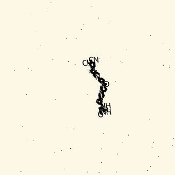 C[C@H]1CC2(CCN(c3ccc(C(=O)N4CCC(N5CCN(c6cccc(N[C@H]7CCC(=O)NC7=O)c6)CC5)CC4)cc3)CC2)CN1c1ccc(C#N)c(Cl)c1